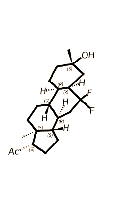 CC(=O)[C@H]1CC[C@H]2[C@@H]3CC(F)(F)[C@@H]4C[C@@](C)(O)CC[C@@H]4[C@H]3CC[C@]12C